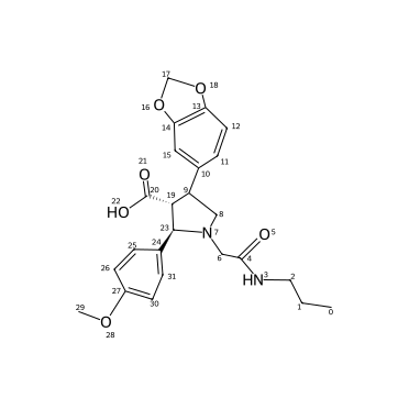 CCCNC(=O)CN1CC(c2ccc3c(c2)OCO3)[C@@H](C(=O)O)[C@@H]1c1ccc(OC)cc1